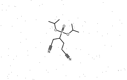 CC(C)OP(=O)(OC(C)C)C(CC#N)CCC#N